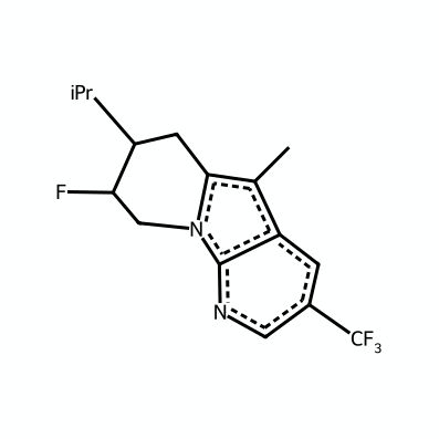 Cc1c2n(c3ncc(C(F)(F)F)cc13)CC(F)C(C(C)C)C2